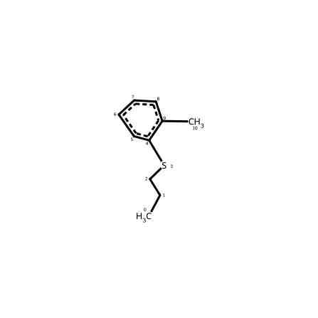 CCCSc1ccccc1C